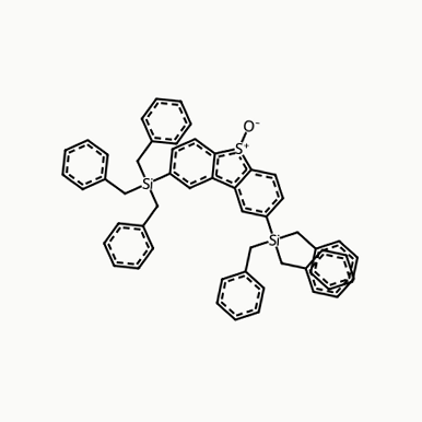 [O-][s+]1c2ccc([Si](Cc3ccccc3)(Cc3ccccc3)Cc3ccccc3)cc2c2cc([Si](Cc3ccccc3)(Cc3ccccc3)Cc3ccccc3)ccc21